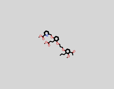 CCCc1c(OCCCOc2cccc(OCc3cccc(C(=O)OC)n3)c2CCC(=O)OC)ccc(C(C)=O)c1OC